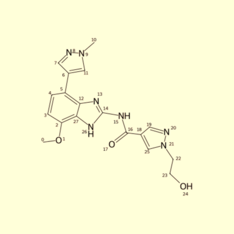 COc1ccc(-c2cnn(C)c2)c2nc(NC(=O)c3cnn(CCO)c3)[nH]c12